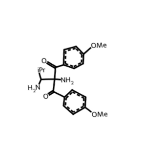 COc1ccc(C(=O)C(N)(C(=O)c2ccc(OC)cc2)C(N)C(C)C)cc1